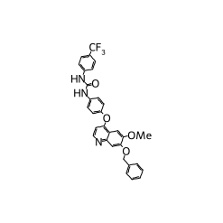 COc1cc2c(Oc3ccc(NC(=O)Nc4ccc(C(F)(F)F)cc4)cc3)ccnc2cc1OCc1ccccc1